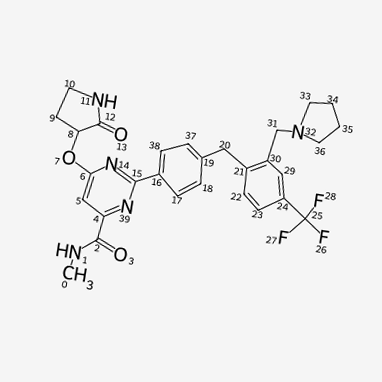 CNC(=O)c1cc(OC2CCNC2=O)nc(-c2ccc(Cc3ccc(C(F)(F)F)cc3CN3CCCC3)cc2)n1